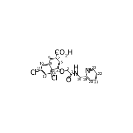 O=C(COc1cc(C(=O)O)cc2cc(Cl)cc(Cl)c12)NCc1ccccn1